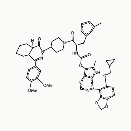 COc1ccc(C2=NN(C3CCN(C(=O)[C@@H](Cc4cccc(C)c4)NC(=O)Oc4c(C)[nH]c5c(-c6c(OCC7CC7)ccc7c6OCO7)ncnc45)CC3)C(=O)[C@@H]3CCCC[C@H]23)cc1OC